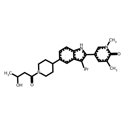 Cc1cc(-c2[nH]c3ccc(C4CCN(C(=O)CC(C)O)CC4)cc3c2C(C)C)cn(C)c1=O